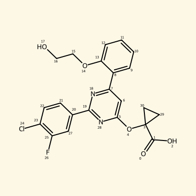 O=C(O)C1(Oc2cc(-c3ccccc3OCCO)nc(-c3ccc(Cl)c(F)c3)n2)CC1